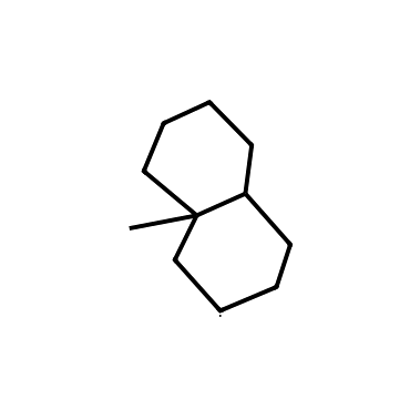 CC12C[CH]CCC1CCCC2